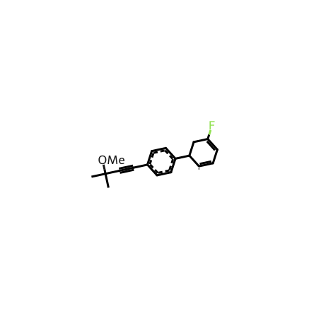 COC(C)(C)C#Cc1ccc(C2[C]=CC=C(F)C2)cc1